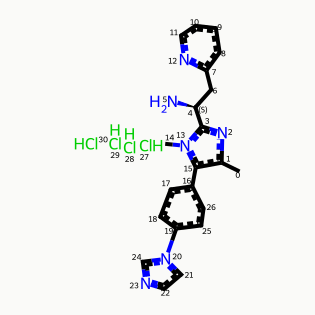 Cc1nc([C@@H](N)Cc2ccccn2)n(C)c1-c1ccc(-n2ccnc2)cc1.Cl.Cl.Cl.Cl